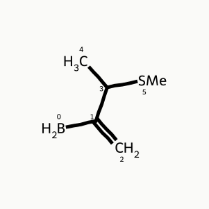 BC(=C)C(C)SC